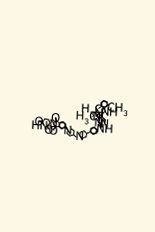 Cc1cccc(C)c1Nc1nn(C)c2nc(Nc3ccc(C4CCN(CC5CCN(c6ccc7c(c6)C(=O)N(C6CCC(=O)NC6=O)C7=O)CC5)CC4)cc3)ncc12